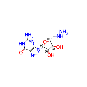 NNC[C@H]1O[C@@H](n2cnc3c(=O)[nH]c(N)nc32)[C@H](O)[C@@H]1O